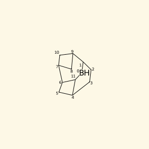 B1C2CCC3CC(C4CC2C4)C13